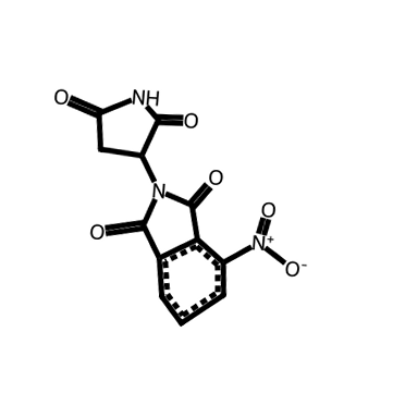 O=C1CC(N2C(=O)c3cccc([N+](=O)[O-])c3C2=O)C(=O)N1